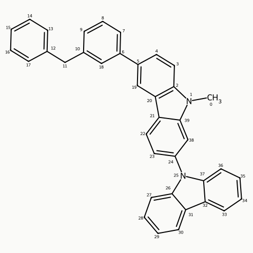 Cn1c2ccc(-c3cccc(Cc4ccccc4)c3)cc2c2ccc(-n3c4ccccc4c4ccccc43)cc21